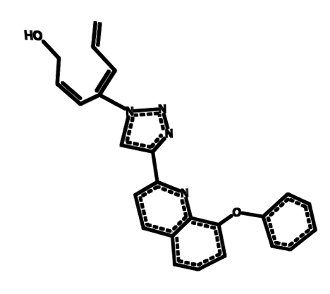 C=C/C=C(\C=C/CO)n1cc(-c2ccc3cccc(Oc4ccccc4)c3n2)nn1